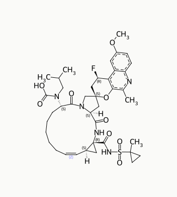 COc1ccc2nc(C)c3c(c2c1)[C@H](F)C[C@]1(C[C@H]2C(=O)N[C@]4(C(=O)NS(=O)(=O)C5(C)CC5)C[C@H]4/C=C\CCCCC[C@H](N(CC(C)C)C(=O)O)C(=O)N2C1)O3